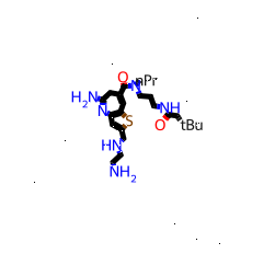 CCCN(CCCNC(=O)CC(C)(C)C)C(=O)C1=Cc2sc(CNCCN)cc2N=C(N)C1